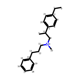 CCc1ccc(C(C)CN(C)CCCc2ccccc2)cc1